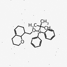 CC(C)(C)[Si](OCC1CCC=C2CCCOC21)(c1ccccc1)c1ccccc1